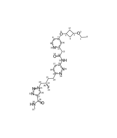 CCOC1CC(Oc2ccnc(CC(=O)Nc3ccc(CC[C@@H](F)Cn4cc(C(=O)NC)nn4)nn3)c2)C1